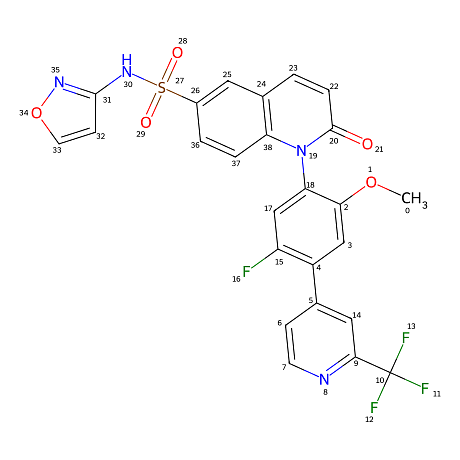 COc1cc(-c2ccnc(C(F)(F)F)c2)c(F)cc1-n1c(=O)ccc2cc(S(=O)(=O)Nc3ccon3)ccc21